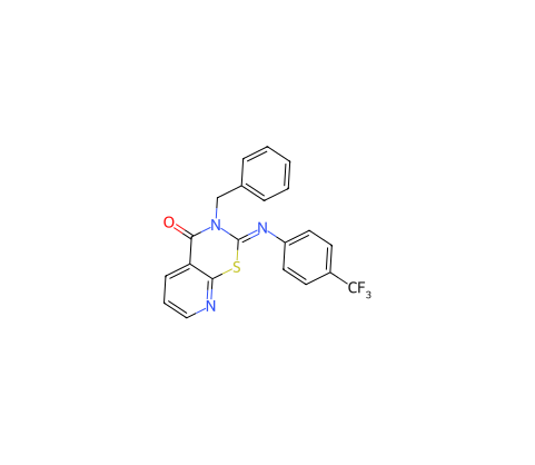 O=c1c2cccnc2s/c(=N\c2ccc(C(F)(F)F)cc2)n1Cc1ccccc1